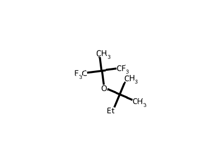 CCC(C)(C)OC(C)(C(F)(F)F)C(F)(F)F